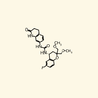 COCC1(COC)C[C@@H](NC(=O)Nc2ccc3c(c2)NC(=O)CC3)c2cc(F)ccc2O1